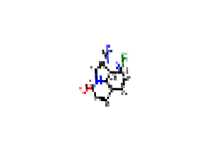 NC[C@@H]1Cn2c(=O)ccc3ccc(F)c1c32